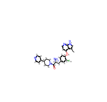 Cc1c[nH]c2nccc(Oc3ccc(C[C@H](N)C(=O)N4CCC(c5ccncc5)CC4)cc3F)c12